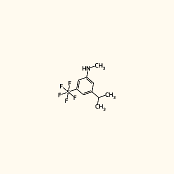 CNc1cc(C(C)C)cc(S(F)(F)(F)(F)F)c1